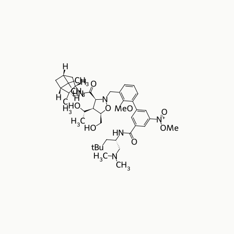 COc1c(CN2O[C@@H](CO)[C@@H]([C@H](C)O)[C@H]2C(=O)N[C@H]2C[C@H]3C[C@@H]([C@@H]2C)C3(C)C)cccc1-c1cc(C(=O)N[C@H](CN(C)C)CC(C)(C)C)cc([N+](=O)OC)c1